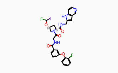 O=C(NCC(=O)N1C[C@H](OC(F)I)C[C@H]1C(=O)NCc1cc2cnccc2[nH]1)c1cccc(Oc2ccccc2F)c1